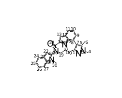 Cc1nn(C)c(C)c1-c1cccc2cc3n(c12)C(C)CN(c1cc2ccccc2n1C)C3=O